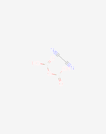 N#CC#N.O=S(O)OS(=O)O